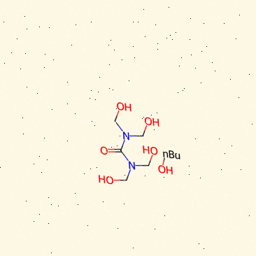 CCCCO.O=C(N(CO)CO)N(CO)CO